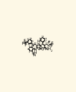 N#Cc1cccc2c1NC(=O)[C@@H](NC(=O)[C@@H](c1ccccc1)[C@@H](CCC(F)(F)F)C(N)=O)CN2c1cccc(C(F)(F)F)c1